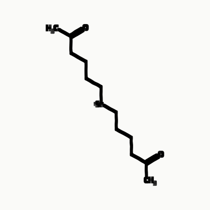 CC(=O)CCC[CH2][Sn][CH2]CCCC(C)=O